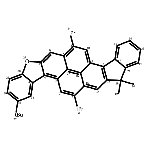 CC(C)c1cc2c3c(cc4c(C(C)C)cc5c6c(cc1c5c42)C(C)(C)c1ccccc1-6)oc1ccc(C(C)(C)C)cc13